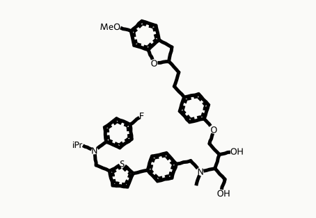 COc1ccc2c(c1)OC(CCc1ccc(OCC(O)C(CO)N(C)Cc3ccc(-c4ccc(CN(c5ccc(F)cc5)C(C)C)s4)cc3)cc1)C2